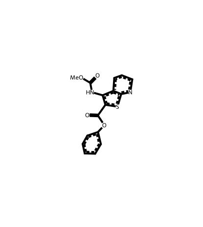 COC(=O)Nc1c(C(=O)Oc2ccccc2)sc2ncccc12